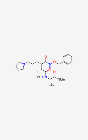 CNC(=O)[C@@H](NC(=O)[C@H](CC(C)C)C(CCCN1CCCC1)C(=O)NOCc1ccccc1)C(C)(C)C